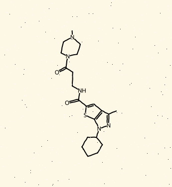 Cc1nn(C2CCCCC2)c2sc(C(=O)NCCC(=O)N3CCN(C)CC3)cc12